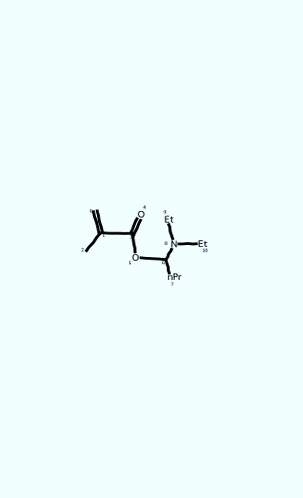 C=C(C)C(=O)OC(CCC)N(CC)CC